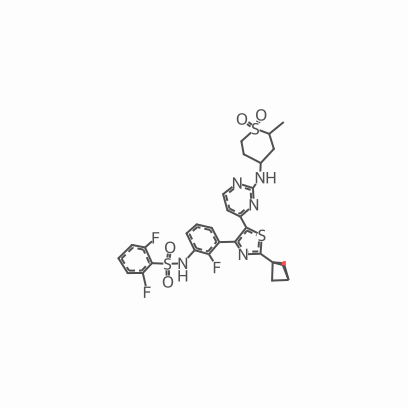 CC1CC(Nc2nccc(-c3sc(C45CC(C4)C5)nc3-c3cccc(NS(=O)(=O)c4c(F)cccc4F)c3F)n2)CCS1(=O)=O